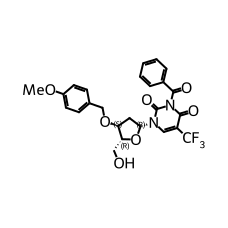 COc1ccc(CO[C@H]2C[C@H](n3cc(C(F)(F)F)c(=O)n(C(=O)c4ccccc4)c3=O)O[C@@H]2CO)cc1